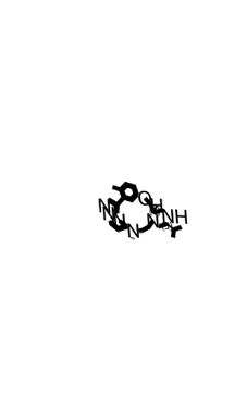 Cc1ccc2cc1-c1cnn3ccc(nc13)N(C)CCN1C[C@H](C(C)C)NC[C@H]1CO2